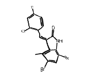 Cc1c(Br)cc(Br)c2c1C(=Cc1ccc(F)cc1Cl)C(=O)N2